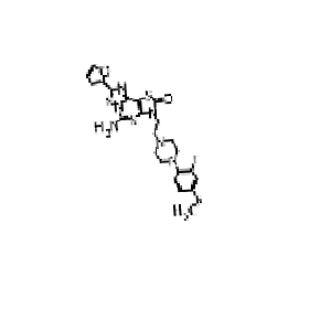 CSc1ccc(N2CCN(CCn3c(=O)sc4c3nc(N)n3nc(-c5ccco5)nc43)CC2)c(F)c1